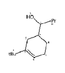 CC(C)C(O)C1CCC=C(C(C)(C)C)C1